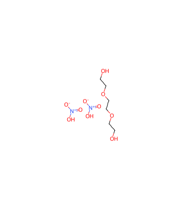 O=[N+]([O-])O.O=[N+]([O-])O.OCCOCCOCCO